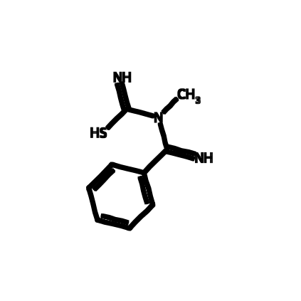 CN(C(=N)S)C(=N)c1ccccc1